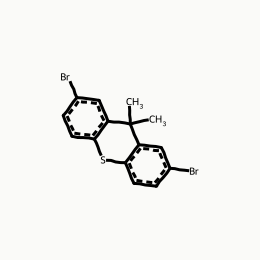 CC1(C)c2cc(Br)ccc2Sc2ccc(Br)cc21